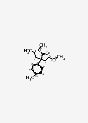 CCCC(CCOC)(C(=O)OC)c1ccc(C)cc1